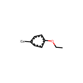 CCOc1cc[c]([Ge])cc1